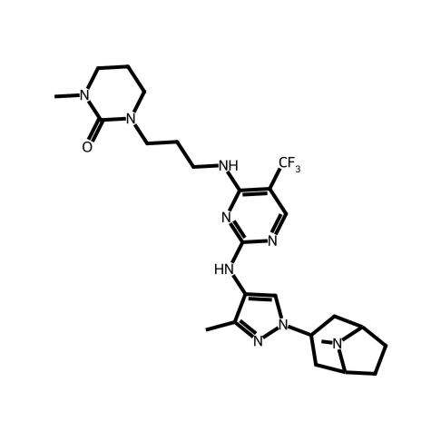 Cc1nn(C2CC3CCC(C2)N3C)cc1Nc1ncc(C(F)(F)F)c(NCCCN2CCCN(C)C2=O)n1